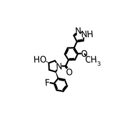 COc1cc(C(=O)N2C[C@@H](O)C[C@@H]2c2ccccc2F)ccc1-c1cn[nH]c1